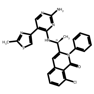 Cc1nc(-c2cnc(N)nc2N[C@@H](C)c2cc3cccc(Cl)c3c(=O)n2-c2ccccc2)cs1